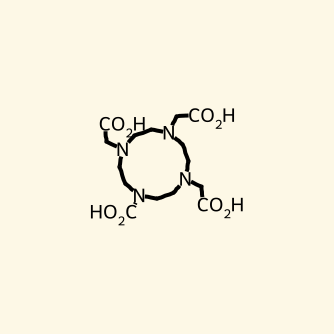 O=C(O)CN1CCN(CC(=O)O)CCN(C(=O)O)CCN(CC(=O)O)CC1